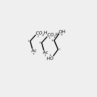 CC(=O)CC(=O)O.CC(=O)CC(=O)O.OCCO